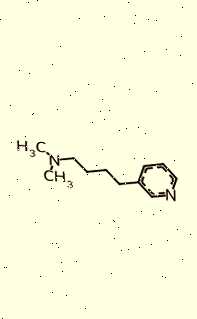 CN(C)CCCCc1cccnc1